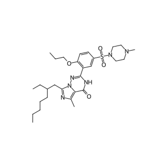 CCCCCC(CC)Cc1nc(C)c2c(=O)[nH]c(-c3cc(S(=O)(=O)N4CCN(C)CC4)ccc3OCCC)nn12